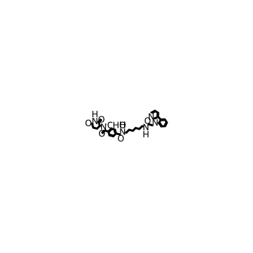 CN(C(=O)c1ccc(C(=O)NCCCCCCNC(=O)Cn2c3ccccc3c3cccnc32)cc1C=O)C1CCC(=O)NC1=O